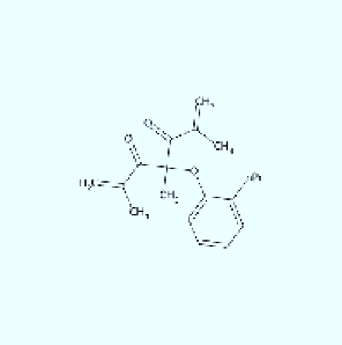 C=C(C)C(=O)C(C)(Oc1ccccc1CCC)C(=O)C(=C)C